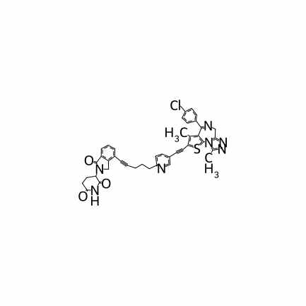 Cc1c(C#Cc2ccc(CCCC#Cc3cccc4c3CN(C3CCC(=O)NC3=O)C4=O)nc2)sc2c1C(c1ccc(Cl)cc1)=NCc1nnc(C)n1-2